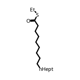 [CH2]CSC(=O)CCCCCCCCCCCCCCC